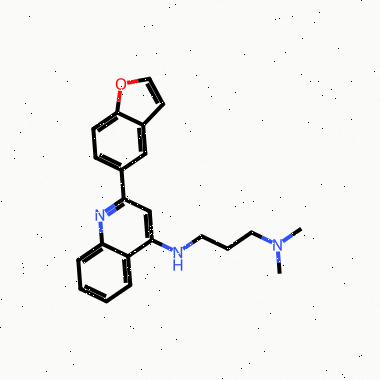 CN(C)CCCNc1cc(-c2ccc3occc3c2)nc2ccccc12